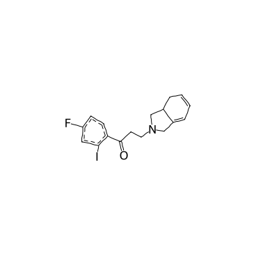 O=C(CCN1CC2=CC=CCC2C1)c1ccc(F)cc1I